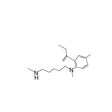 C=C(CC)c1cc(C)ccc1N(C)CCCCCNC